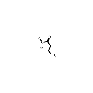 CCCC(=O)OBr.[Zn]